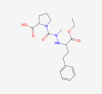 CCOC(=O)C(CCc1ccccc1)NN(C)C(=O)N1CCCC1C(=O)O